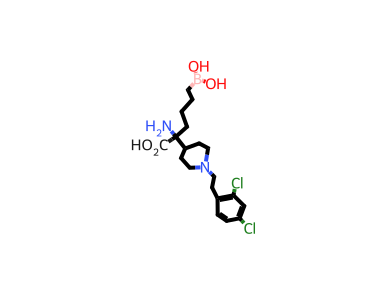 NC(CCCCB(O)O)(C(=O)O)C1CCN(CCc2ccc(Cl)cc2Cl)CC1